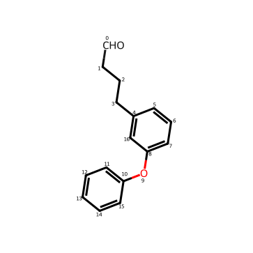 O=CCCCc1cccc(Oc2ccccc2)c1